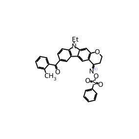 CCn1c2ccc(C(=O)c3ccccc3C)cc2c2cc3c(cc21)OCC/C3=N\OS(=O)(=O)c1ccccc1